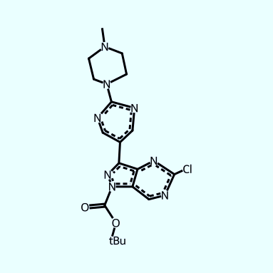 CN1CCN(c2ncc(-c3nn(C(=O)OC(C)(C)C)c4cnc(Cl)nc34)cn2)CC1